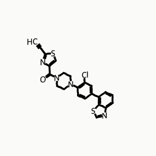 C#Cc1nc(C(=O)N2CCN(c3ccc(-c4cccc5ncsc45)cc3Cl)CC2)cs1